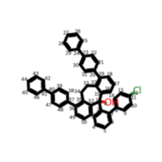 OC1(c2ccccc2-c2ccc(Cl)cc2)c2cccc(-c3ccc(-c4ccccc4)cc3)c2CCc2c(-c3ccc(-c4ccccc4)cc3)cccc21